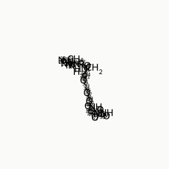 C=C[C@H](NC(=O)c1cccc(NCc2nnc(-c3ccncn3)n2C)c1)c1ccc(OCCCCCOCCCOCC(=O)Nc2cccc3c2CN(C2CCC(=O)NC2=O)C3=O)cc1